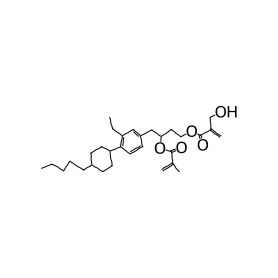 C=C(C)C(=O)OC(CCOC(=O)C(=C)CO)Cc1ccc(C2CCC(CCCCC)CC2)c(CC)c1